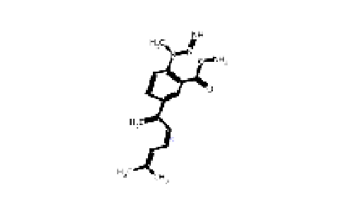 C=C(/C=C\C=C(C)C)c1ccc(N(C)N=N)c(C(=O)ON)c1